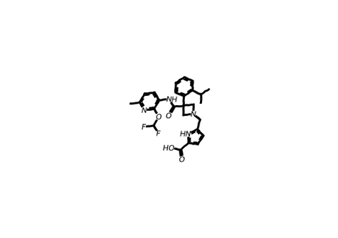 Cc1ccc(NC(=O)C2(c3ccccc3C(C)C)CN(Cc3ccc(C(=O)O)[nH]3)C2)c(OC(F)F)n1